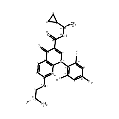 C[C@@H](N)CNc1ccc2c(=O)c(C(=O)N[C@@H](C3CC3)C(F)(F)F)cn(-c3c(F)cc(F)cc3F)c2n1